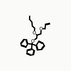 C=CCOCC(COC(c1ccccc1)(c1ccccc1)c1ccccc1)OCCCCC